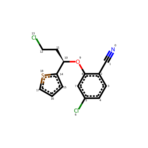 N#Cc1ccc(Cl)cc1O[C@H](CCCl)c1cccs1